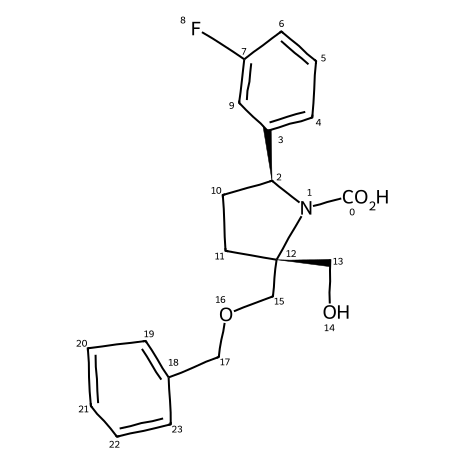 O=C(O)N1[C@H](c2cccc(F)c2)CC[C@@]1(CO)COCc1ccccc1